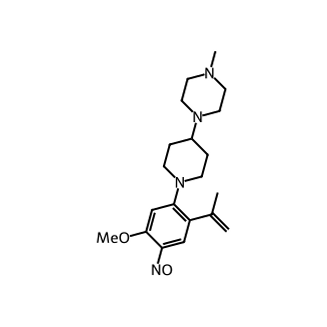 C=C(C)c1cc(N=O)c(OC)cc1N1CCC(N2CCN(C)CC2)CC1